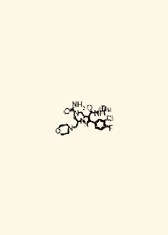 CC(C)(C)NC(=O)c1c(-c2ccc(F)c(Cl)c2)nn2c1CN(C(N)=O)CC2CN1CCOCC1